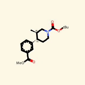 COC(=O)c1cccc([C@H]2CCN(C(=O)OC(C)(C)C)C[C@@H]2C)c1